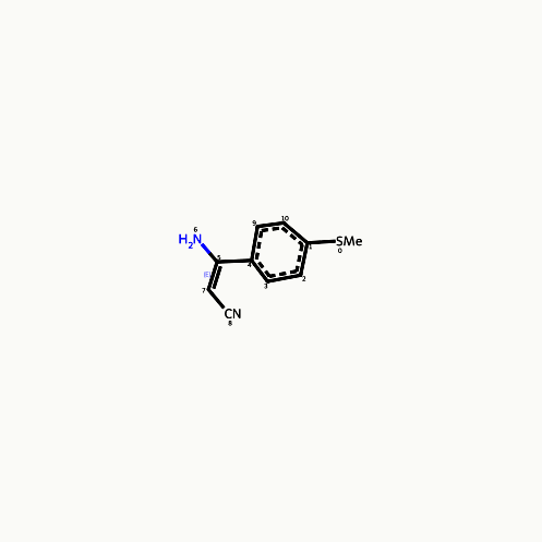 CSc1ccc(/C(N)=C\C#N)cc1